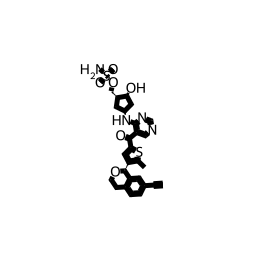 C#Cc1ccc2c(c1)[C@@H](c1cc(C(=O)c3cncnc3N[C@@H]3C[C@H](COS(N)(=O)=O)[C@@H](O)C3)sc1C)OCC2